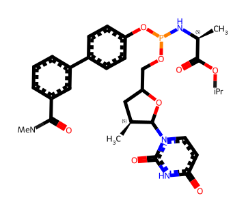 CNC(=O)c1cccc(-c2ccc(OP(N[C@@H](C)C(=O)OC(C)C)OCC3C[C@H](C)C(n4ccc(=O)[nH]c4=O)O3)cc2)c1